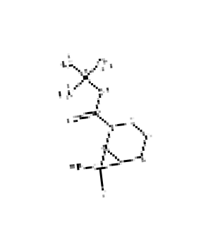 CC(C)(C)OC(=O)N1CCCC2C1C2(F)Br